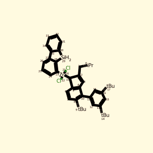 CC(C)CC1=Cc2c(ccc(C(C)(C)C)c2-c2cc(C(C)(C)C)cc(C(C)(C)C)c2)[CH]1[Zr]([Cl])([Cl])[c]1cccc2c1[SiH2]c1ccccc1-2